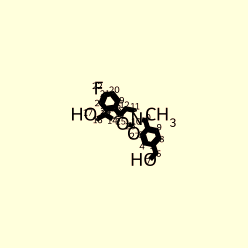 C[C@@H](c1ccc(CO)cc1)N1CC[C@](CCCO)(c2ccc(F)cc2)OC1=O